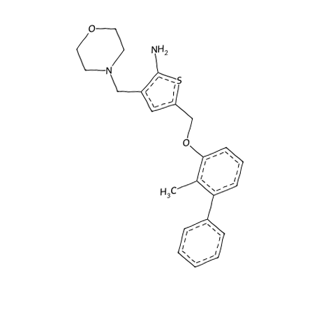 Cc1c(OCc2cc(CN3CCOCC3)c(N)s2)cccc1-c1ccccc1